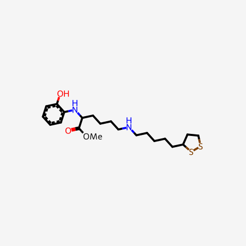 COC(=O)C(CCCCNCCCCCC1CCSS1)Nc1ccccc1O